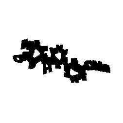 COc1cncc(-c2cncc(Nc3ccc(F)c(Cl)c3)c2)c1